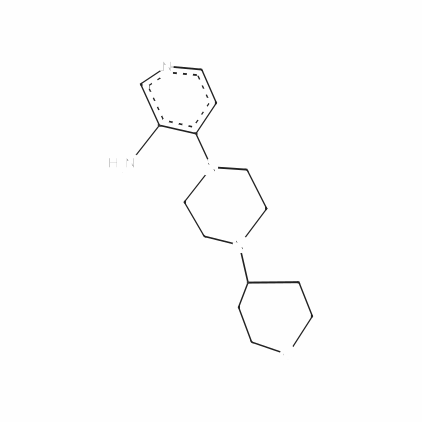 Nc1cnccc1N1CCN(C2CCOCC2)CC1